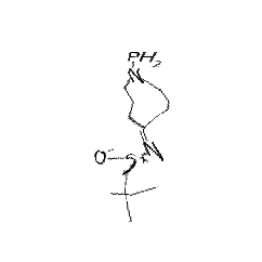 CC(C)(C)[S+]([O-])N=C1CCN(P)CC1